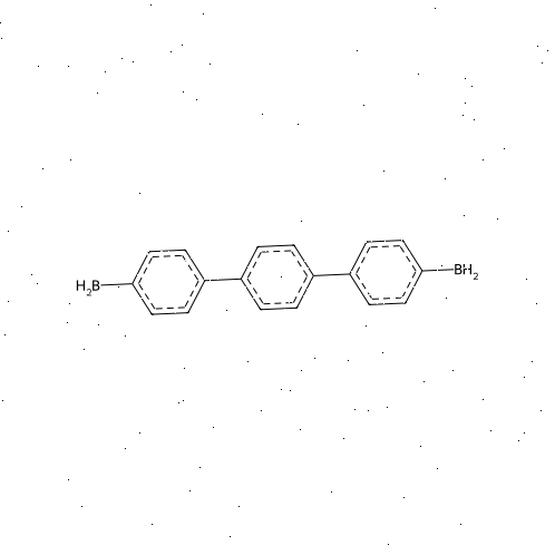 Bc1ccc(-c2ccc(-c3ccc(B)cc3)cc2)cc1